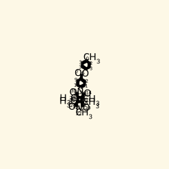 Cc1ccc(OC(=O)c2ccc(N3C(=O)C4(C)C5(C)C(=O)N(C)C(=O)C5(C)C4(C)C3=O)cc2)cc1